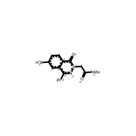 Bc1ccc2c(=O)n(CC(=O)NC)nc(C(C)C)c2c1